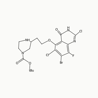 CC(C)(C)OC(=O)N1CCNC(CCOc2c(Cl)c(Br)c(F)c3nc(Cl)[nH]c(=O)c23)C1